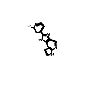 Oc1cccc(-c2nc3cnc4[nH]ccc4c3[nH]2)c1